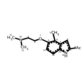 CC(=O)c1cc2c(C)c(OCCN(C)C)ccc2[nH]1